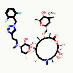 CC[C@H]1OC(=O)[C@H](C)[C@@H](OC[C@H]2C[C@@](C)(OC)[C@@H](O)[C@H](C)O2)[C@H](C)[C@@H](O[C@@H]2O[C@H](C)C[C@H](N(C)CCc3cn(Cc4c(F)cccc4F)nn3)[C@H]2O)[C@](C)(O)C[C@@H](C)CN(C)[C@H](C)[C@@H](O)[C@]1(C)O